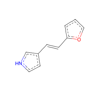 C(=C\c1ccco1)/c1cc[nH]c1